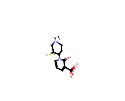 CN1CCC(n2cccc(C(=O)O)c2=O)C(F)C1